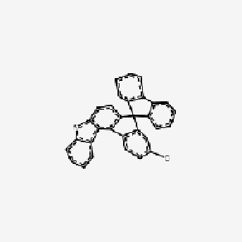 Clc1ccc2c(c1)C1(c3ccccc3-c3ccccc31)c1ccc3sc4ccccc4c3c1-2